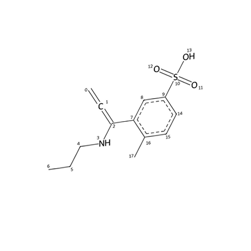 C=C=C(NCCC)c1cc(S(=O)(=O)O)ccc1C